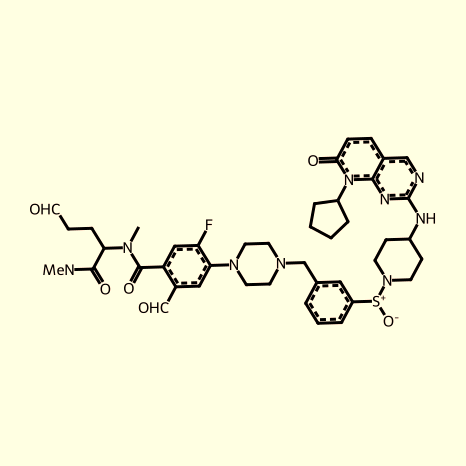 CNC(=O)C(CCC=O)N(C)C(=O)c1cc(F)c(N2CCN(Cc3cccc([S+]([O-])N4CCC(Nc5ncc6ccc(=O)n(C7CCCC7)c6n5)CC4)c3)CC2)cc1C=O